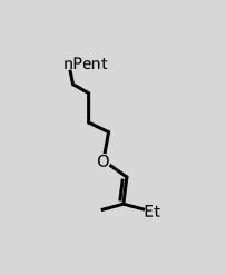 CCCCCCCCCO/C=C(\C)CC